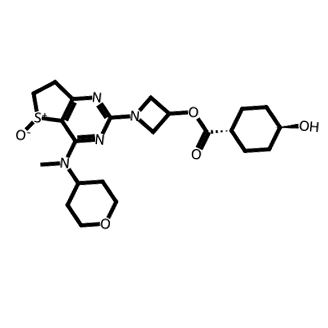 CN(c1nc(N2CC(OC(=O)[C@H]3CC[C@H](O)CC3)C2)nc2c1[S+]([O-])CC2)C1CCOCC1